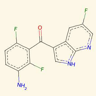 Nc1ccc(F)c(C(=O)c2c[nH]c3ncc(F)cc23)c1F